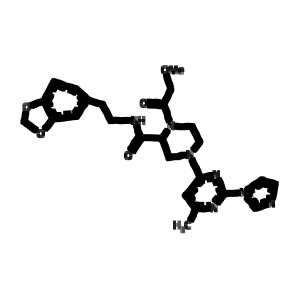 COCC(=O)N1CCN(c2cc(C)nc(-n3ccnc3)n2)CC1C(=O)NCCc1ccc2c(c1)OCO2